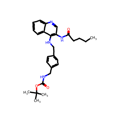 CCCCC(=O)Nc1cnc2ccccc2c1NCc1ccc(CNC(=O)OC(C)(C)C)cc1